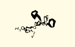 CN(C)CCCOc1cc(C(=O)Nc2ccccc2F)n(Cc2ccccc2)n1